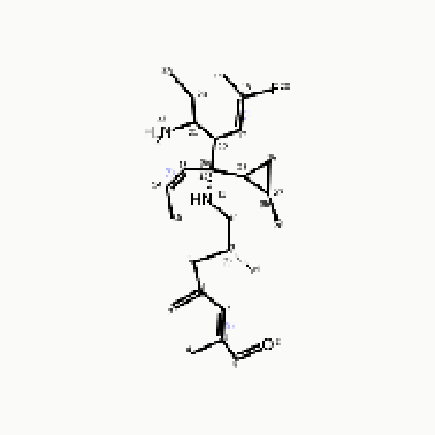 C=C(/C=C(\C)C=O)C[C@@H](C)CN[C@](/C=C\C)(C(/C=C(\C)F)C(N)CC)C1C[C@H]1C